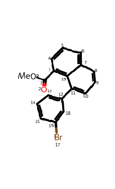 COC(=O)c1cccc2cccc(-c3cccc(Br)c3)c12